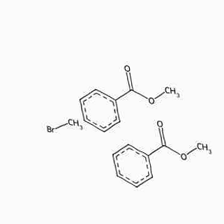 CBr.COC(=O)c1ccccc1.COC(=O)c1ccccc1